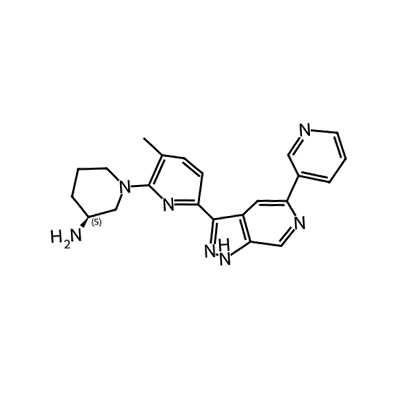 Cc1ccc(-c2n[nH]c3cnc(-c4cccnc4)cc23)nc1N1CCC[C@H](N)C1